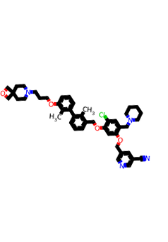 Cc1c(COc2cc(OCc3cncc(C#N)c3)c(CN3CCCCC3)cc2Cl)cccc1-c1cccc(OCCCN2CCC3(CC2)COC3)c1C